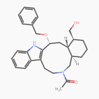 CC(=O)N1CCc2c([nH]c3ccccc23)[C@H](OCc2ccccc2)C[C@@H]2[C@@H](CO)CCC[C@H]2C1